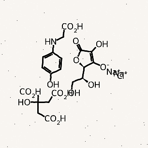 O=C(O)CC(O)(CC(=O)O)C(=O)O.O=C(O)CNc1ccc(O)cc1.O=C1O[C@H]([C@@H](O)CO)C([O-])=C1O.[Cl-].[Na+].[Na+]